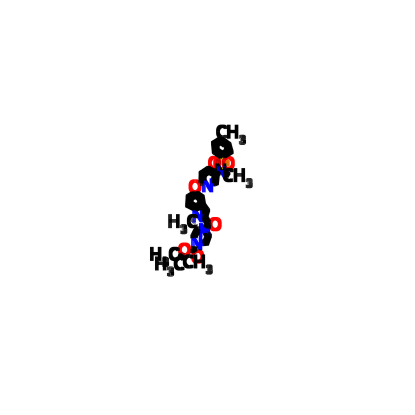 Cc1ccc(S(=O)(=O)N(C)c2ccc(Oc3ccc4c(c3)cc(C(=O)N3CCN(C(=O)OC(C)(C)C)CC3)n4C)nc2)cc1